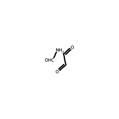 NC=O.O=CC=O